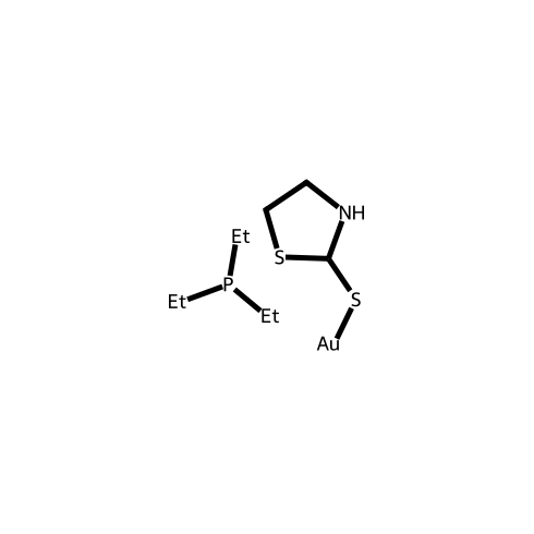 CCP(CC)CC.[Au][S]C1NCCS1